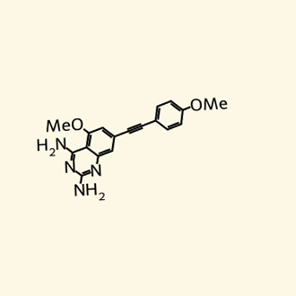 COc1ccc(C#Cc2cc(OC)c3c(N)nc(N)nc3c2)cc1